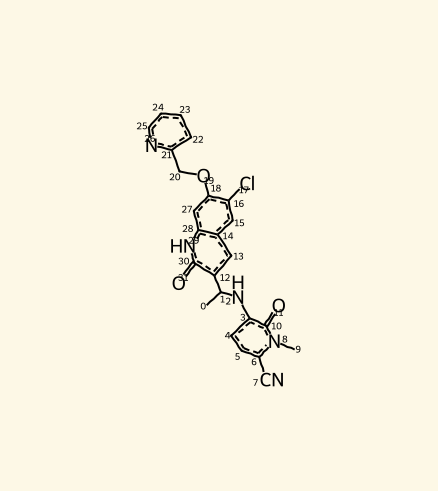 CC(Nc1ccc(C#N)n(C)c1=O)c1cc2cc(Cl)c(OCc3ccccn3)cc2[nH]c1=O